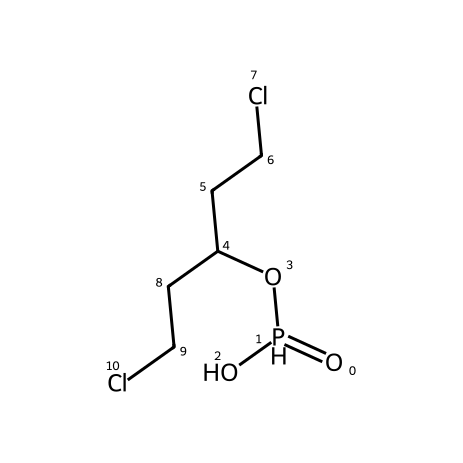 O=[PH](O)OC(CCCl)CCCl